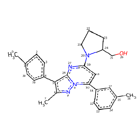 Cc1ccc(-c2c(C)nn3c(-c4cccc(C)c4)cc(N4CCCC4CO)nc23)cc1